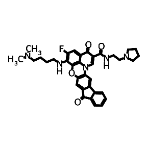 CN(C)CCCCNc1c(F)cc2c(=O)c(C(=O)NCCN3CCCC3)cn3c4cc5c(cc4oc1c23)c(=O)c1ccccc15